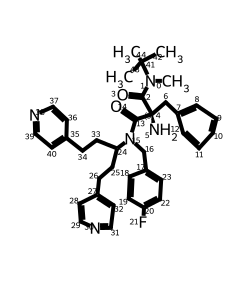 CN(C(=O)[C@](N)(Cc1ccccc1)C(=O)N(Cc1ccc(F)cc1)C(CCc1ccncc1)CCc1ccncc1)C(C)(C)C